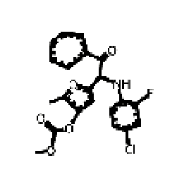 COC(=O)Oc1cc(C(Nc2ccc(Cl)cc2F)C(=O)c2ccccc2)oc1C